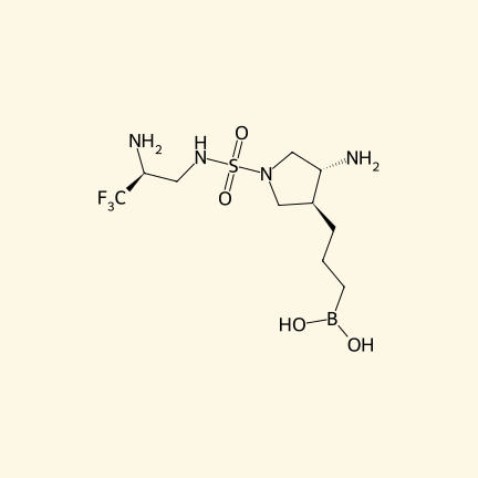 N[C@H]1CN(S(=O)(=O)NC[C@H](N)C(F)(F)F)C[C@@H]1CCCB(O)O